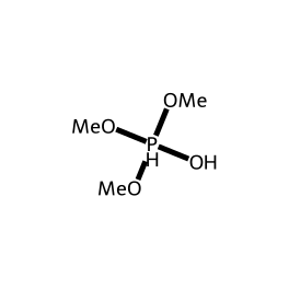 CO[PH](O)(OC)OC